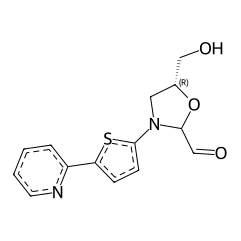 O=CC1O[C@@H](CO)CN1c1ccc(-c2ccccn2)s1